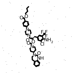 CCCCOC(=O)c1ccc(N2CCN(C(=O)[C@@H](Cc3cc(Cl)c(N)c(C(F)(F)F)c3)OC(=O)N3CCC(N4CCc5ccccc5NC4=O)CC3)CC2)cc1